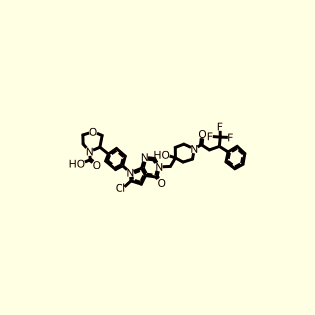 O=C(CC(c1ccccc1)C(F)(F)F)N1CCC(O)(Cn2cnc3c(cc(Cl)n3-c3ccc(C4COCCN4C(=O)O)cc3)c2=O)CC1